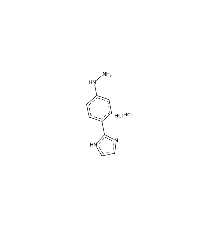 Cl.Cl.NNc1ccc(-c2ncc[nH]2)cc1